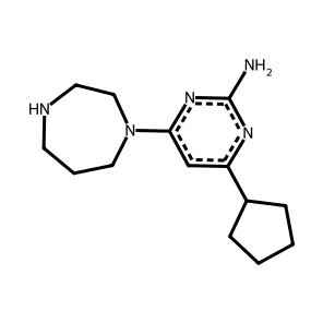 Nc1nc(C2CCCC2)cc(N2CCCNCC2)n1